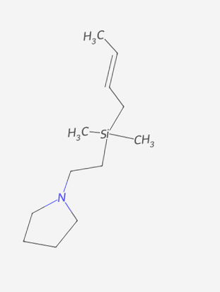 CC=CC[Si](C)(C)CCN1CCCC1